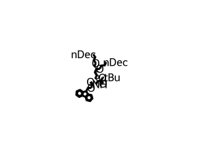 CCCCCCCCCCCCOC[C@H](CSC[C@H](NC(=O)OCC1c2ccccc2-c2ccccc21)C(=O)OC(C)(C)C)OCCCCCCCCCCCC